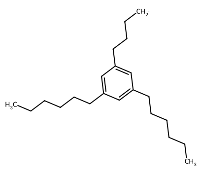 [CH2]CCCc1cc(CCCCCC)cc(CCCCCC)c1